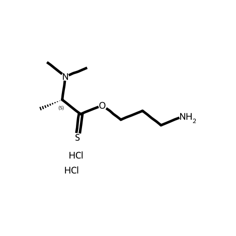 C[C@@H](C(=S)OCCCN)N(C)C.Cl.Cl